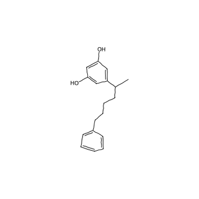 CC(CCCCc1ccccc1)c1cc(O)cc(O)c1